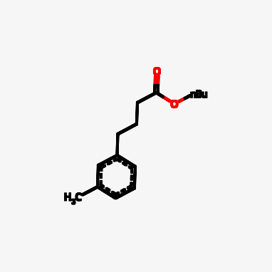 CCCCOC(=O)CCCc1cccc(C)c1